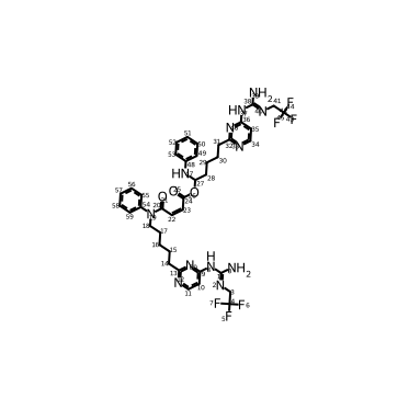 NC(=NCC(F)(F)F)Nc1ccnc(CCCCCN(C(=O)/C=C\C(=O)OC(CCCCc2nccc(NC(N)=NCC(F)(F)F)n2)Nc2ccccc2)c2ccccc2)n1